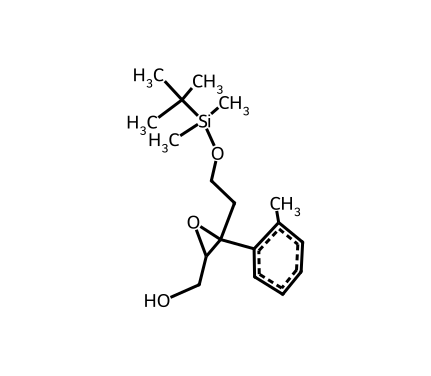 Cc1ccccc1C1(CCO[Si](C)(C)C(C)(C)C)OC1CO